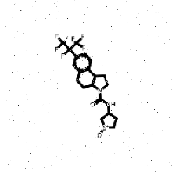 O=C(NC1CC[S+]([O-])C1)N1CCC2c3ccc(C(F)(C(F)(F)F)C(F)(F)F)cc3CCC21